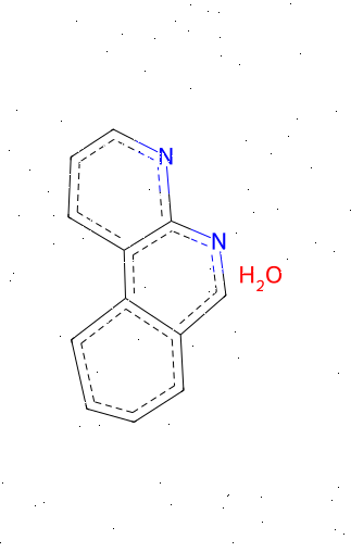 O.c1ccc2c(c1)cnc1ncccc12